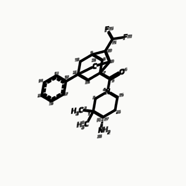 CC1(C)CN(C(=O)C23CC4CC(c5ccccc5)(CC2C4C(F)F)C3)CC[C@@H]1N